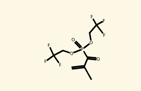 C=C(C)C(=O)P(=O)(OCC(F)(F)F)OCC(F)(F)F